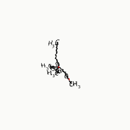 CCCCCCCCCCCCOCC(CCCCCCCOCCCCCC)(CCCN(C)C)CCCN(C)C